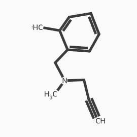 [CH]c1ccccc1CN(C)CC#C